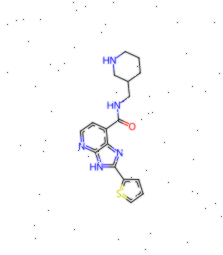 O=C(NCC1CCCNC1)c1ccnc2[nH]c(-c3cccs3)nc12